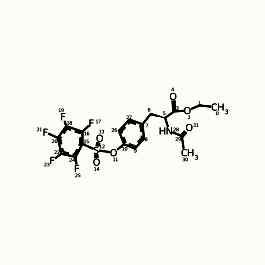 CCOC(=O)[C@H](Cc1ccc(OS(=O)(=O)c2c(F)c(F)c(F)c(F)c2F)cc1)NC(C)=O